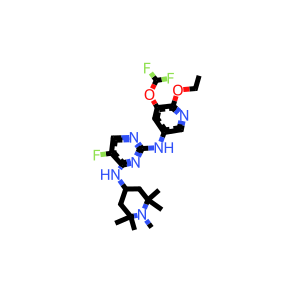 CCOc1ncc(Nc2ncc(F)c(NC3CC(C)(C)N(C)C(C)(C)C3)n2)cc1OC(F)F